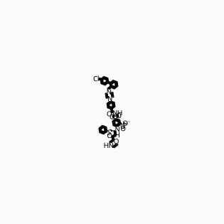 O=C(NS(=O)(=O)c1ccc(N[C@@H](CSc2ccccc2)CC(=O)C2CNCCO2)c([N+](=O)[O-])c1)c1ccc(N2CCN(Cc3ccccc3-c3ccc(Cl)cc3)CC2)cc1